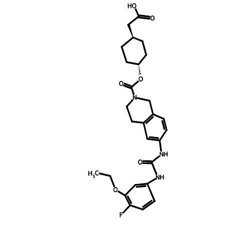 CCOc1cc(NC(=O)Nc2ccc3c(c2)CCN(C(=O)O[C@H]2CC[C@H](CC(=O)O)CC2)C3)ccc1F